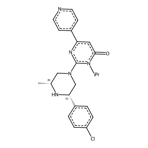 CC(C)n1c(N2C[C@@H](C)N[C@@H](c3ccc(Cl)cc3)C2)nc(-c2ccncc2)cc1=O